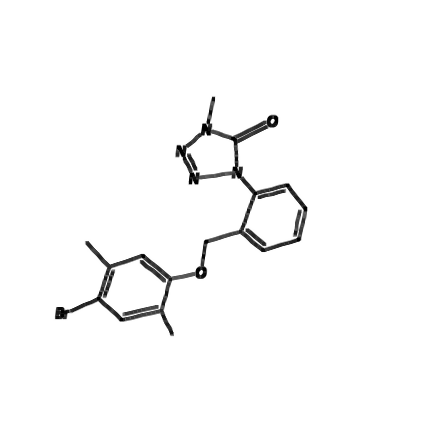 Cc1cc(OCc2ccccc2-n2nnn(C)c2=O)c(C)cc1Br